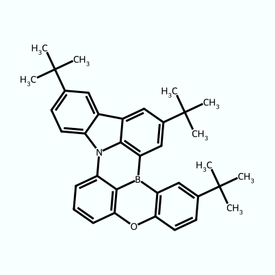 CC(C)(C)c1ccc2c(c1)B1c3c(cccc3-n3c4ccc(C(C)(C)C)cc4c4cc(C(C)(C)C)cc1c43)O2